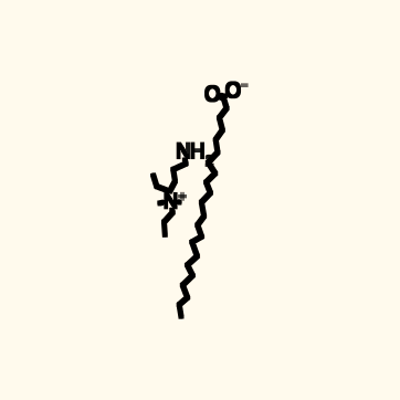 CCCCCCCCCCCCCCCCCCCCCC(=O)[O-].CCC[N+](C)(C)C(CC)CCCN